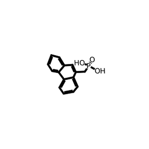 O=P(O)(O)Cc1cc2ccccc2c2ccccc12